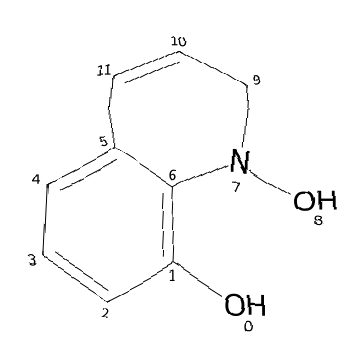 Oc1cccc2c1N(O)CC=C2